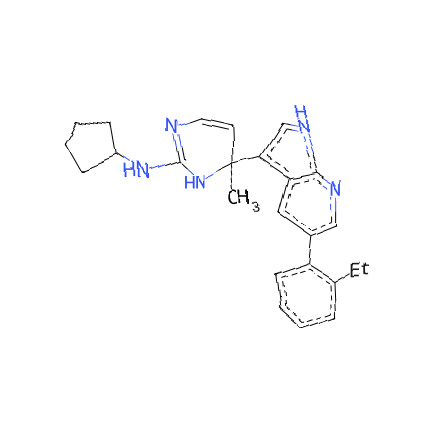 CCc1ccccc1-c1cnc2[nH]cc(C3(C)C=CN=C(NC4CCCC4)N3)c2c1